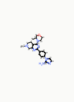 CC(C)N1CCc2c(nc(-c3ccc(-n4ccnc4N)cc3)nc2N2CCOCC2C)C1